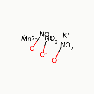 O=[N+]([O-])[O-].O=[N+]([O-])[O-].O=[N+]([O-])[O-].[K+].[Mn+2]